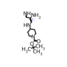 CC(C)(C)OC(=O)N1CCC(N/C=C(/N)C=N)CC1